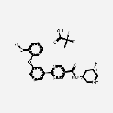 CCOc1cccnc1Oc1cncc(-c2ncc(C(=O)N[C@H]3CNC[C@@H](F)C3)cn2)c1.O=C(O)C(F)(F)F